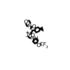 C[C@@H](CNc1ccc(OC(F)(F)F)cc1)N(C)C(=O)[C@H](CC(=O)N1CCOCC1)C1CCC2(CC1)CC2